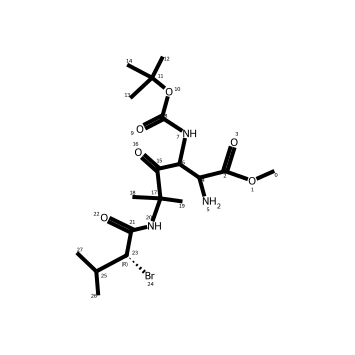 COC(=O)C(N)C(NC(=O)OC(C)(C)C)C(=O)C(C)(C)NC(=O)[C@H](Br)C(C)C